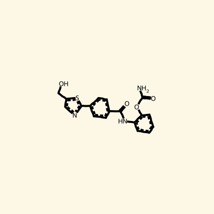 NC(=O)Oc1ccccc1NC(=O)c1ccc(-c2ncc(CO)s2)cc1